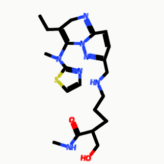 CCC1=C(N(C)c2nccs2)N2N=C(CNCCCC(CO)C(=O)NC)C=CC2=NC1